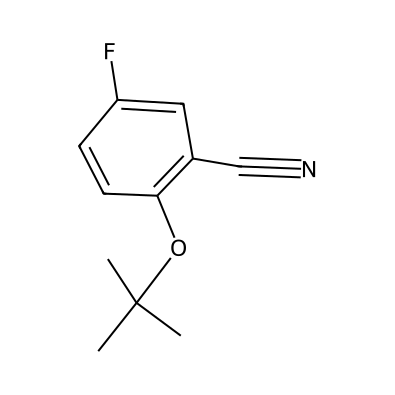 CC(C)(C)Oc1ccc(F)cc1C#N